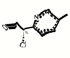 Cc1ccc([C@H](Cl)C=O)nc1